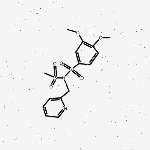 COc1ccc(S(=O)(=O)N(Cc2ccccn2)S(C)(=O)=O)cc1OC